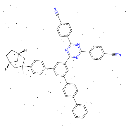 CC1(c2ccc(-c3cc(-c4ccc(-c5ccccc5)cc4)cc(-c4nc(-c5ccc(C#N)cc5)nc(-c5ccc(C#N)cc5)n4)c3)cc2)C[C@@H]2CC[C@@H](C2)C1